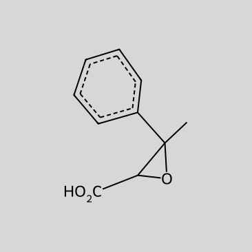 CC1(c2ccccc2)OC1C(=O)O